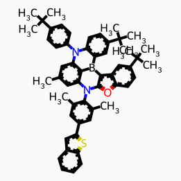 Cc1cc2c3c(c1)N(c1c(C)cc(-c4cc5ccccc5s4)cc1C)c1oc4ccc(C(C)(C)C)cc4c1B3c1cc(C(C)(C)C)ccc1N2c1ccc(C(C)(C)C)cc1